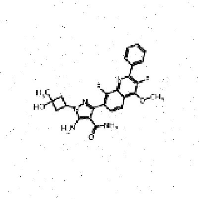 COc1c(F)c(-c2ccccc2)nc2c(F)c(-c3nn(C4CC(C)(O)C4)c(N)c3C(N)=O)ccc12